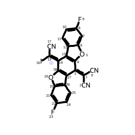 N#CC(C#N)=c1c2oc3cc(F)ccc3c2/c(=C(/I)C#N)c2oc3cc(F)ccc3c12